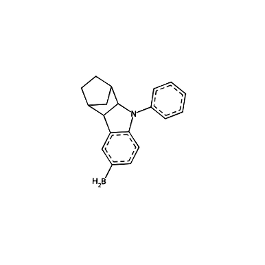 Bc1ccc2c(c1)C1C3CCC(C3)C1N2c1ccccc1